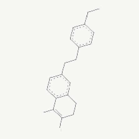 CC1=C(C=O)CCc2cc(CCc3ccc(CC(C)C)cc3)ccc21